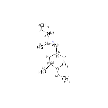 CCN/C(S)=N/[C@H]1COC(CC)[C@@H](O)C1